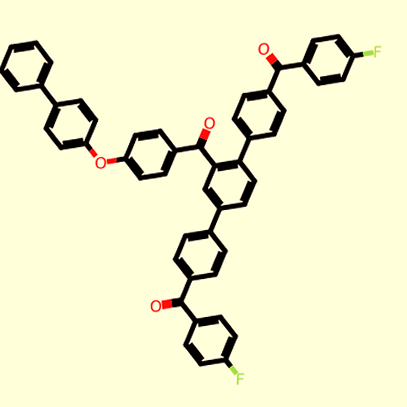 O=C(c1ccc(F)cc1)c1ccc(-c2ccc(-c3ccc(C(=O)c4ccc(F)cc4)cc3)c(C(=O)c3ccc(Oc4ccc(-c5ccccc5)cc4)cc3)c2)cc1